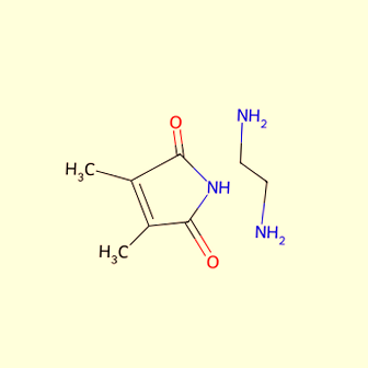 CC1=C(C)C(=O)NC1=O.NCCN